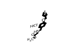 COC(=O)CNCc1ccc(OCc2ccsc2)cc1.Cl